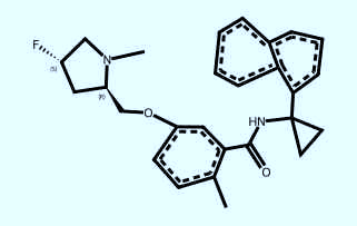 Cc1ccc(OC[C@H]2C[C@H](F)CN2C)cc1C(=O)NC1(c2cccc3ccccc23)CC1